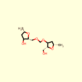 B[C@H]1CC(O)[C@@H](COCOC2C[C@H](B)O[C@@H]2CO)O1